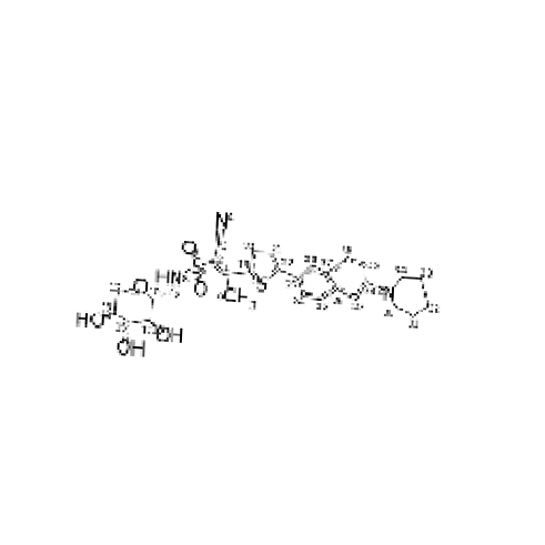 C/C(=C(/C#N)S(=O)(=O)NC[C@H]1OC[C@H](O)[C@@H](O)[C@@H]1O)c1ccc(-c2ccc3cc(N4CCCCC4)ccc3c2)s1